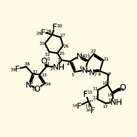 O=C(NC(c1cn2nc(CC3C[C@@H](C(F)(F)F)CNC3=O)ccc2n1)C1CCC(F)(F)CC1)c1conc1CF